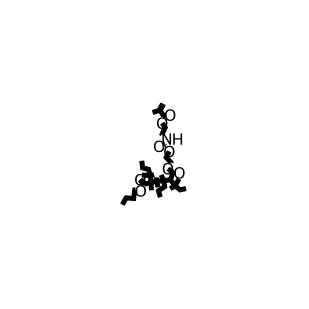 C=C(C)C(=O)OCCNC(=O)OCCOC(=O)C(C(C)(C)CC)C(C)(CCC)C(C)(C)C(C)(C(=O)OCCCC)C(C)(C)CCC